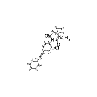 CN1C(=O)N(c2ccc(C#Cc3ccccc3)cc2Cl)C(=O)CC12CCC2